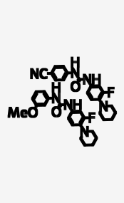 COc1cccc(NC(=O)Nc2ccc(N3CCCCC3)c(F)c2)c1.N#Cc1ccc(NC(=O)Nc2ccc(N3CCCCC3)c(F)c2)cc1